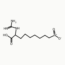 N=C(N)NC(CCCCCCC[N+](=O)[O-])C(=O)O